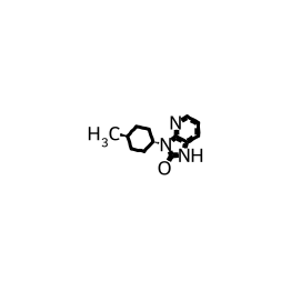 C[C@H]1CC[C@H](n2c(=O)[nH]c3cccnc32)CC1